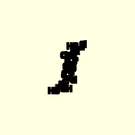 O=S(=O)(c1ccc(OCC(O)CO)c(Cl)c1)c1ccc(OCC(O)CCl)c(Cl)c1